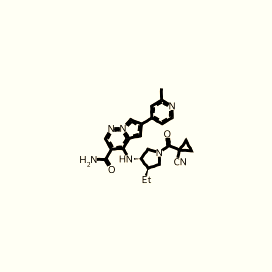 CC[C@@H]1CN(C(=O)C2(C#N)CC2)C[C@H]1Nc1c(C(N)=O)cnn2cc(-c3ccnc(C)c3)cc12